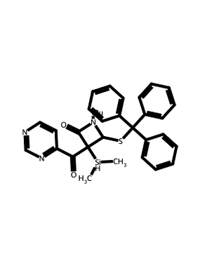 C[SiH](C)C1(C(=O)c2ccncn2)C(=O)N(C(C)(C)C)C1SC(c1ccccc1)(c1ccccc1)c1ccccc1